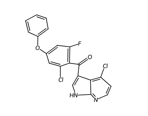 O=C(c1c(F)cc(Oc2ccccc2)cc1Cl)c1c[nH]c2nccc(Cl)c12